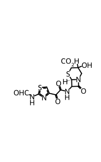 O=CNc1nc(C(=O)C(=O)NC2C(=O)N3CC(O)(C(=O)O)CS[C@H]23)cs1